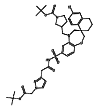 CC(C)(C)OC(=O)Cn1ccc(CC(=O)NS(=O)(=O)c2ccc3c(c2)N(CC2CCN(C(=O)OC(C)(C)C)C2)C[C@@]2(CCCc4cc(Cl)ccc42)CO3)n1